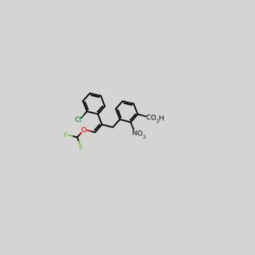 O=C(O)c1cccc(CC(=COC(F)F)c2ccccc2Cl)c1[N+](=O)[O-]